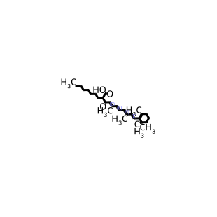 CCCCCCCCC(C(=O)O)C(=O)/C=C(C)/C=C/C=C(C)/C=C/C1=C(C)CCCC1(C)C